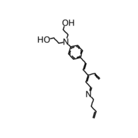 C=CCC/N=C/C=C(C=C)/C=C/c1ccc(N(CCO)CCO)cc1